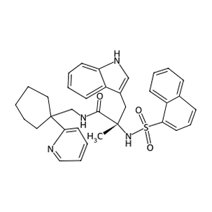 C[C@@](Cc1c[nH]c2ccccc12)(NS(=O)(=O)c1cccc2ccccc12)C(=O)NCC1(c2ccccn2)CCCCC1